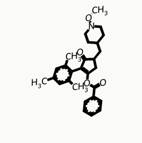 CON1CCC(CC2CC(OC(=O)c3ccccc3)=C(c3c(C)cc(C)cc3C)C2=O)CC1